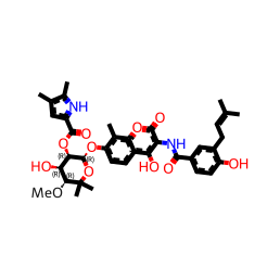 CO[C@@H]1[C@@H](O)[C@@H](OC(=O)c2cc(C)c(C)[nH]2)[C@H](Oc2ccc3c(O)c(NC(=O)c4ccc(O)c(CC=C(C)C)c4)c(=O)oc3c2C)OC1(C)C